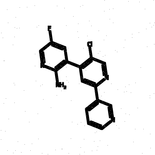 Nc1ncc(F)cc1-c1cc(-c2cccnc2)ncc1Cl